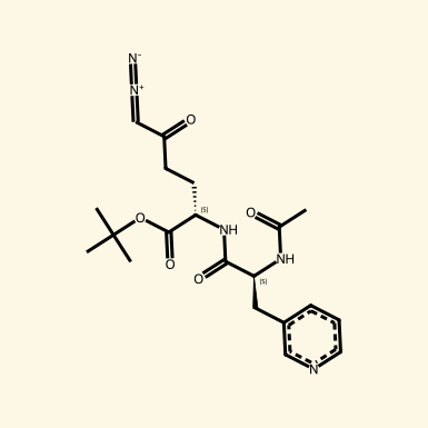 CC(=O)N[C@@H](Cc1cccnc1)C(=O)N[C@@H](CCC(=O)C=[N+]=[N-])C(=O)OC(C)(C)C